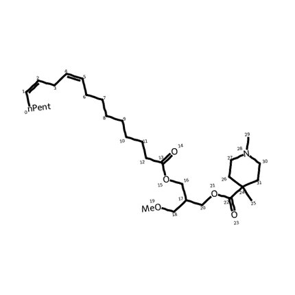 CCCCC/C=C\C/C=C\CCCCCCCC(=O)OCC(COC)COC(=O)C1(C)CCN(C)CC1